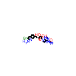 CN(C)C(=O)Nc1ncnc2c1ccn2[C@@H]1O[C@H](CCc2ccc3cc(Br)c(N)nc3c2)[C@@H](O)[C@H]1O